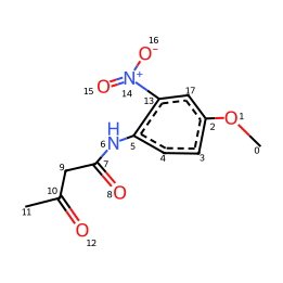 COc1ccc(NC(=O)CC(C)=O)c([N+](=O)[O-])c1